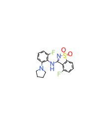 O=S1(=O)N=C(Nc2c(F)cccc2N2CCCC2)c2c(F)cccc21